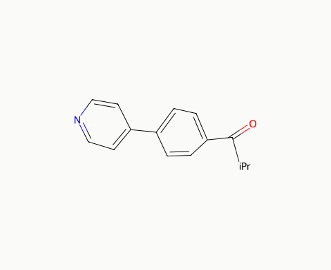 CC(C)C(=O)c1ccc(-c2ccncc2)cc1